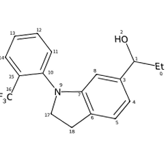 CCC(O)c1ccc2c(c1)N(c1ccccc1C(F)(F)F)CC2